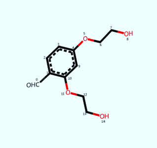 O=Cc1ccc(OCCO)cc1OCCO